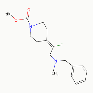 CN(CC(F)=C1CCN(C(=O)OC(C)(C)C)CC1)Cc1ccccc1